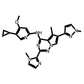 COc1cc(Nc2nc(-c3nccn3C)nn3cc(-c4ccn(C)n4)c(C)c23)ncc1C1CC1